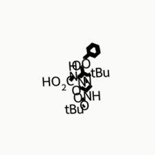 CC(C)(C)OC(=O)N[C@H]1CN2C(C(C)(C)C)C(C(=O)OCc3ccccc3)=C(NC(=O)O)N2C1=O